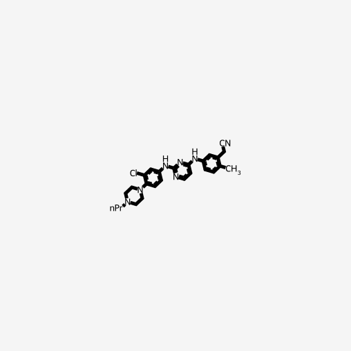 CCCN1CCN(c2ccc(Nc3nccc(Nc4ccc(C)c(CC#N)c4)n3)cc2Cl)CC1